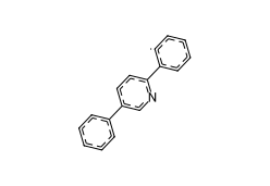 [c]1ccccc1-c1ccc(-c2ccccc2)cn1